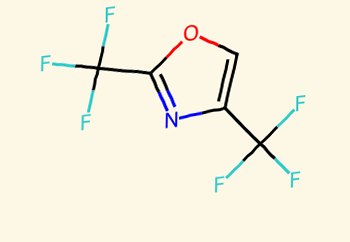 FC(F)(F)c1coc(C(F)(F)F)n1